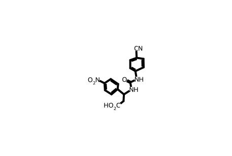 N#Cc1ccc(NC(=O)NC(CC(=O)O)c2ccc([N+](=O)[O-])cc2)cc1